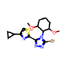 COC1CCCC(OC)C1n1c(Br)nnc1-c1nc(C2CC2)cs1